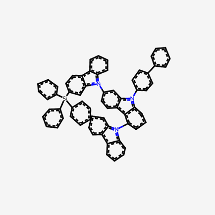 c1ccc(-c2ccc(-n3c4cc(-n5c6ccccc6c6ccc([Si](c7ccccc7)(c7ccccc7)c7ccccc7)cc65)ccc4c4c(-n5c6ccccc6c6ccccc65)cccc43)cc2)cc1